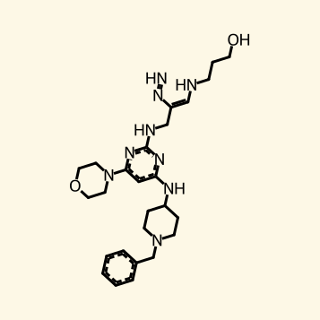 N=N/C(=C\NCCCO)CNc1nc(NC2CCN(Cc3ccccc3)CC2)cc(N2CCOCC2)n1